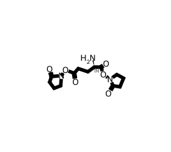 N[C@@H](CCC(=O)ON1CCCC1=O)C(=O)ON1CCCC1=O